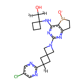 [2H]C1(c2ncc(Cl)cn2)CC2(CN(c3nc4c(c(NC5(C([2H])([2H])O)CCC5)n3)[S+]([O-])CC4)C2)C1